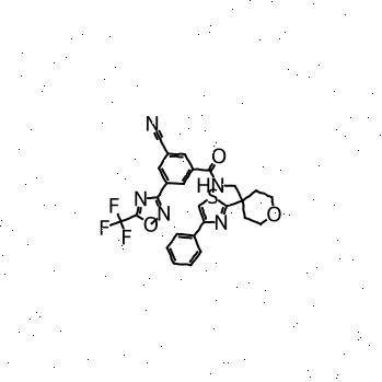 N#Cc1cc(C(=O)NCC2(c3nc(-c4ccccc4)cs3)CCOCC2)cc(-c2noc(C(F)(F)F)n2)c1